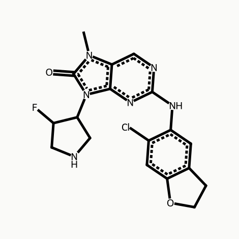 Cn1c(=O)n(C2CNCC2F)c2nc(Nc3cc4c(cc3Cl)OCC4)ncc21